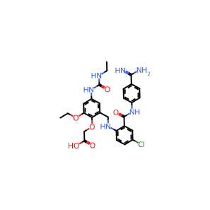 CCNC(=O)Nc1cc(CNc2ccc(Cl)cc2C(=O)Nc2ccc(C(=N)N)cc2)c(OCC(=O)O)c(OCC)c1